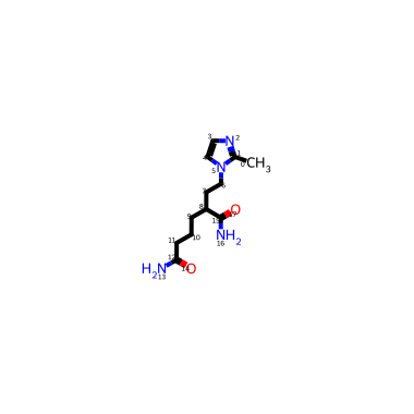 Cc1nccn1CCC(CCCC(N)=O)C(N)=O